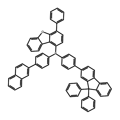 c1ccc(-c2ccc(N(c3ccc(-c4ccc5c(c4)C(c4ccccc4)(c4ccccc4)c4ccccc4-5)cc3)c3ccc(-c4ccc5ccccc5c4)cc3)c3c2oc2ccccc23)cc1